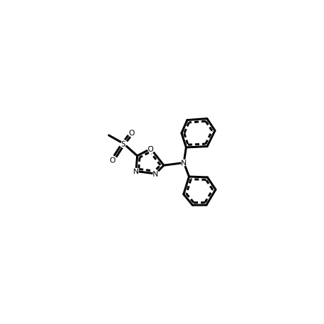 CS(=O)(=O)c1nnc(N(c2ccccc2)c2ccccc2)o1